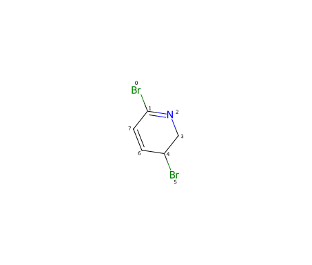 BrC1=NCC(Br)C=C1